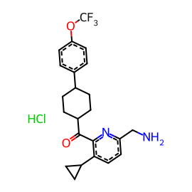 Cl.NCc1ccc(C2CC2)c(C(=O)C2CCC(c3ccc(OC(F)(F)F)cc3)CC2)n1